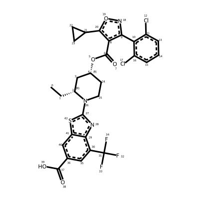 CC[C@@H]1C[C@H](OC(=O)c2c(-c3c(Cl)cccc3Cl)noc2C2CC2)CCN1c1nc2c(C(F)(F)F)cc(C(=O)O)cc2s1